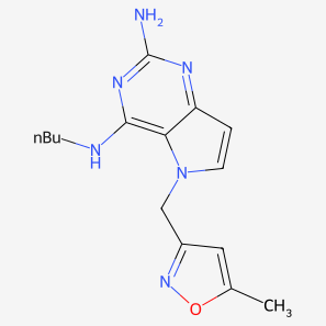 CCCCNc1nc(N)nc2ccn(Cc3cc(C)on3)c12